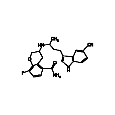 CC(CCc1c[nH]c2ccc(C#N)cc12)NC1COc2c(F)ccc(C(N)=O)c2C1